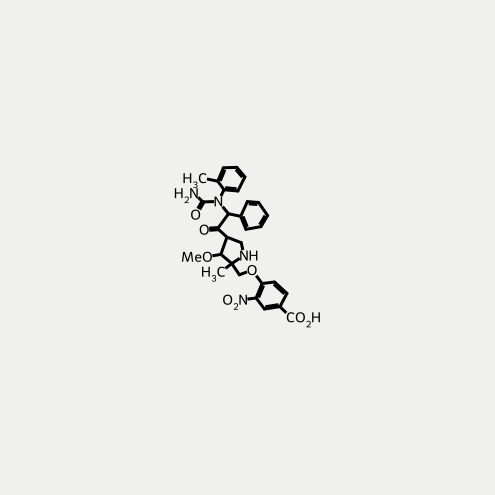 COC1C(C(=O)C(c2ccccc2)N(C(N)=O)c2ccccc2C)CNC1(C)COc1ccc(C(=O)O)cc1[N+](=O)[O-]